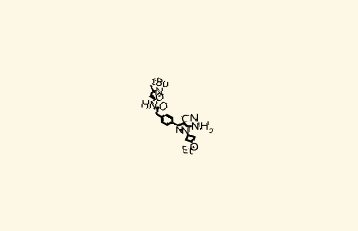 CCO[C@H]1C[C@@H](n2nc(-c3ccc(CC(=O)Nc4cc(CC(C)(C)C)no4)cc3)c(C#N)c2N)C1